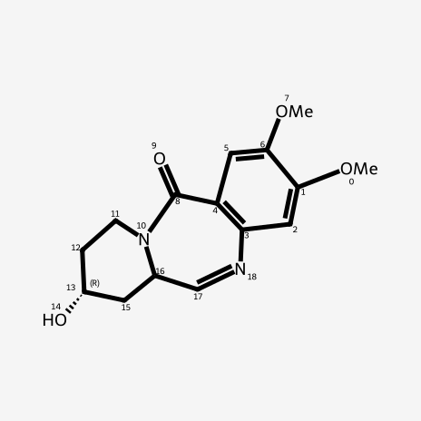 COc1cc2c(cc1OC)C(=O)N1CC[C@@H](O)CC1C=N2